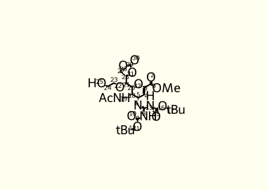 COC(=O)C1=C[C@H](N=C(NC(=O)OC(C)(C)C)NC(=O)OC(C)(C)C)[C@@H](NC(C)=O)[C@H]([C@H](OCCO)[C@H]2COC(=O)O2)O1